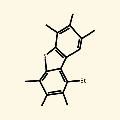 CCc1c(C)c(C)c(C)c2sc3c(C)c(C)c(C)cc3c12